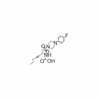 CCCC#CC(CS(=O)(=O)N1CCN(c2ccc(F)cc2)CC1)NC(=O)O